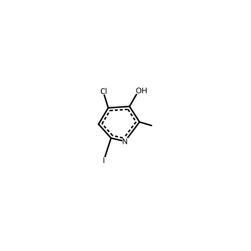 Cc1nc(I)cc(Cl)c1O